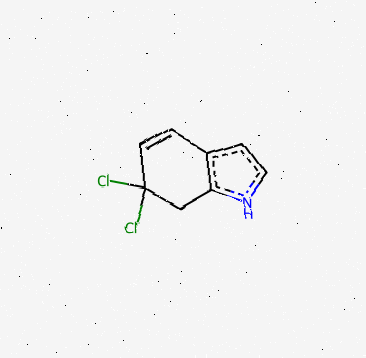 ClC1(Cl)C=Cc2cc[nH]c2C1